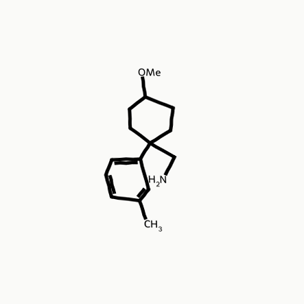 COC1CCC(CN)(c2cccc(C)c2)CC1